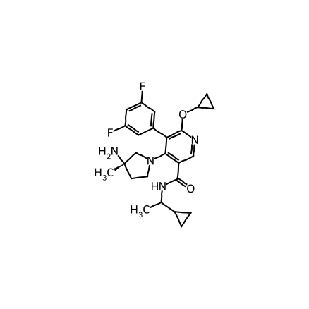 CC(NC(=O)c1cnc(OC2CC2)c(-c2cc(F)cc(F)c2)c1N1CC[C@](C)(N)C1)C1CC1